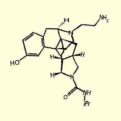 CC(C)NC(=O)N1C[C@H]2C[C@@]34CC[C@@H]1[C@@H]2[C@@]31CCN(CCN)[C@@H]4Cc2ccc(O)cc21